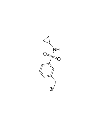 O=S(=O)(NC1CC1)c1cccc(CBr)c1